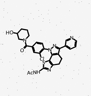 CC(=O)Nc1nc2c(s1)-c1c(c(-c3cccnc3)nn1-c1ccc(C(=O)N3CCCC(O)C3)cc1Cl)CC2